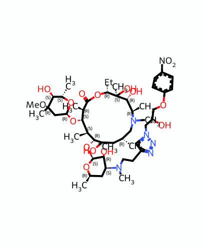 CC[C@H]1OC(=O)[C@H](C)[C@@H](O[C@H]2C[C@@](C)(OC)[C@@H](O)[C@H](C)O2)[C@H](C)[C@@H](O[C@@H]2O[C@H](C)C[C@H](N(C)CCc3cn(C[C@H](O)COc4ccc([N+](=O)[O-])cc4)nn3)[C@H]2O)[C@](C)(O)C[C@@H](C)CN(C)[C@H](C)[C@@H](O)[C@]1(C)O